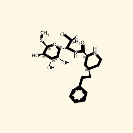 CS[C@H]1O[C@H](C(NC(=O)[C@@H]2C[C@H](CCc3ccccc3)CCN2)[C@H](C)Cl)[C@H](O)[C@H](O)[C@H]1O